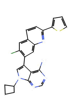 Nc1ncnc2c1c(-c1cc3nc(-c4cccs4)ccc3cc1Cl)cn2C1CCC1